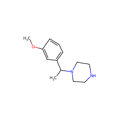 COc1cccc(C(C)N2CCNCC2)c1